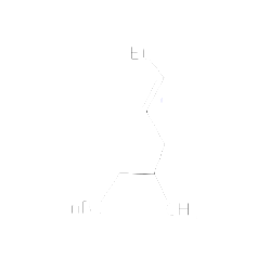 CC/C=C/CC(C)CCCCC